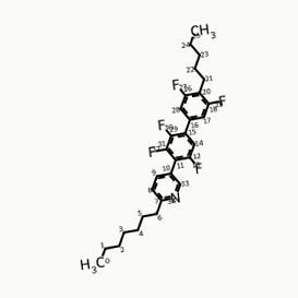 CCCCCCCc1ccc(-c2c(F)cc(-c3cc(F)c(CCCCC)c(F)c3)c(F)c2F)cn1